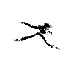 CCCCCCCCCCCCCCCCCCCCCCCCCC=CC1=C(c2cc(CCCCCCCC)cc(CCCCCCCC)c2)[N+](=[N-])C(c2cc(CCCC)cc(CCCC)c2)=C1CCCC.CCCCCCCCCCCCCCCCCCCCCCCCCCCC[CH2][Ni][CH2]CCCCCCCCCCCCCCCCCCCCCCCCCCCC